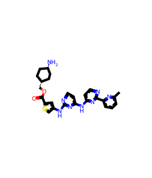 Cc1cccc(-c2nccc(Nc3ccnc(Nc4csc(C(=O)OC[C@H]5CC[C@@H](N)CC5)c4)n3)n2)n1